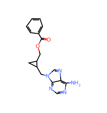 Nc1ncnc2c1ncn2CC1CC1COC(=O)c1ccccc1